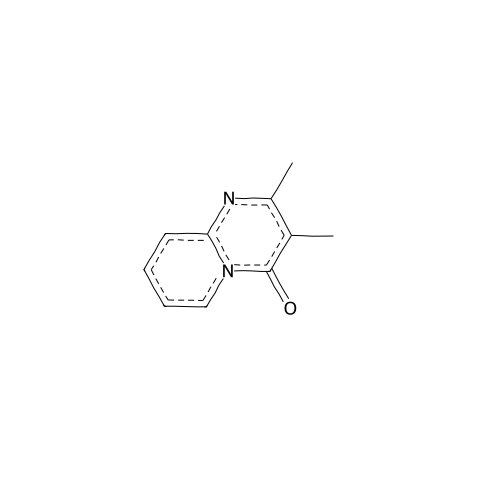 Cc1nc2ccccn2c(=O)c1C